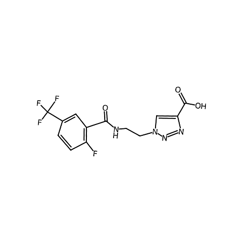 O=C(O)c1cn(CCNC(=O)c2cc(C(F)(F)F)ccc2F)nn1